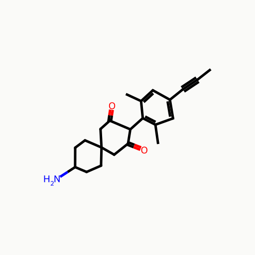 CC#Cc1cc(C)c(C2C(=O)CC3(CCC(N)CC3)CC2=O)c(C)c1